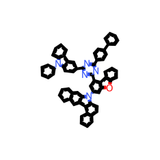 c1ccc(-c2ccc(-c3nc(-c4ccc5c(c4)c4ccccc4n5-c4ccccc4)nc(-c4cc(-n5c6cc7ccccc7cc6c6c7ccccc7ccc65)cc5oc6ccccc6c45)n3)cc2)cc1